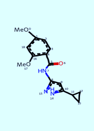 COc1ccc(C(=O)Nc2cc(C3CC3)[nH]n2)c(OC)c1